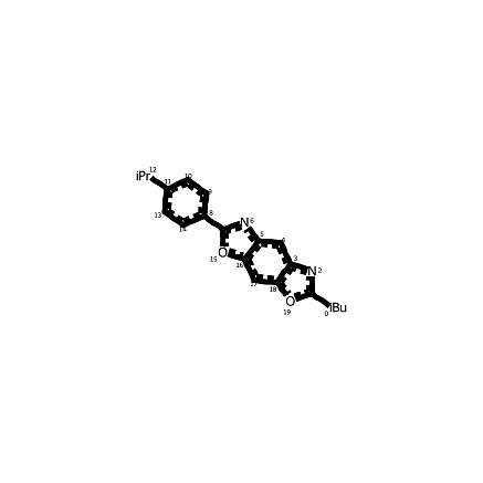 CCC(C)c1nc2cc3nc(-c4ccc(C(C)C)cc4)oc3cc2o1